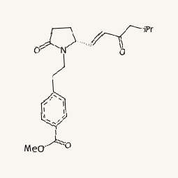 COC(=O)c1ccc(CCN2C(=O)CC[C@@H]2/C=C/C(=O)CC(C)C)cc1